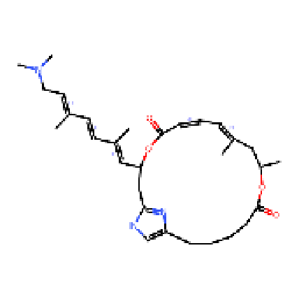 CC(/C=C/C(C)=C/C1Cc2nc(c[nH]2)CCCCC(=O)OC(C)C/C(C)=C/C=C\C(=O)O1)=C\CN(C)C